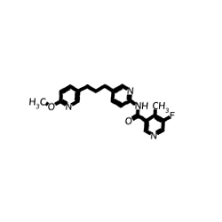 COc1ccc(CCCc2ccc(NC(=O)c3cncc(F)c3C)nc2)cn1